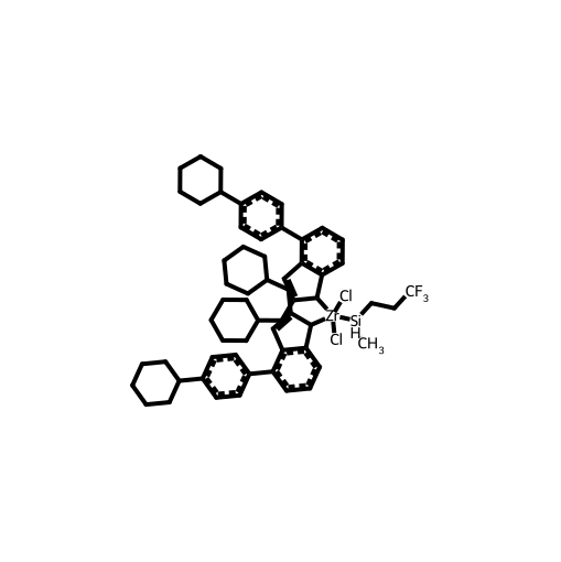 C[SiH](CCC(F)(F)F)[Zr]([Cl])([Cl])([CH]1C(CC2CCCCC2)=Cc2c(-c3ccc(C4CCCCC4)cc3)cccc21)[CH]1C(CC2CCCCC2)=Cc2c(-c3ccc(C4CCCCC4)cc3)cccc21